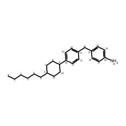 CCCCCCC1CCC(c2ccc(Cc3ccc(N)cc3)cc2)CC1